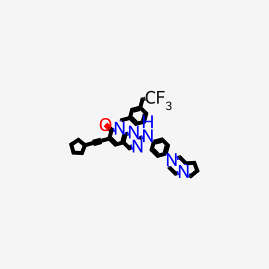 O=c1c(C#CC2CCCC2)cc2cnc(Nc3ccc(N4CCN5CCCC5C4)cc3)nc2n1Cc1cccc(CC(F)(F)F)c1